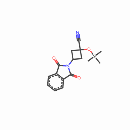 C[Si](C)(C)OC1(C#N)CC(N2C(=O)c3ccccc3C2=O)C1